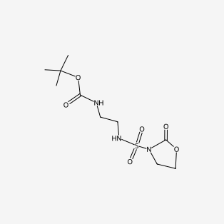 CC(C)(C)OC(=O)NCCNS(=O)(=O)N1CCOC1=O